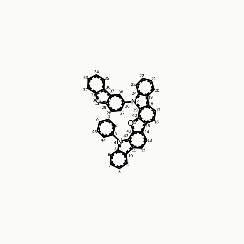 c1ccc(-n2c3ccccc3c3ccc4c5ccc6c7ccccc7n(-c7ccc8sc9ccccc9c8c7)c6c5oc4c32)cc1